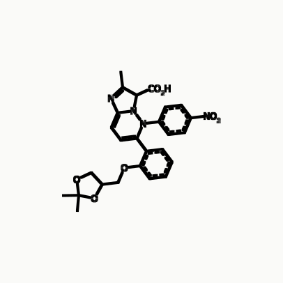 CC1=NC2=CC=C(c3ccccc3OCC3COC(C)(C)O3)N(c3ccc([N+](=O)[O-])cc3)N2C1C(=O)O